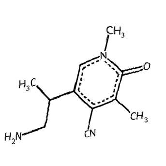 Cc1c(C#N)c(C(C)CN)cn(C)c1=O